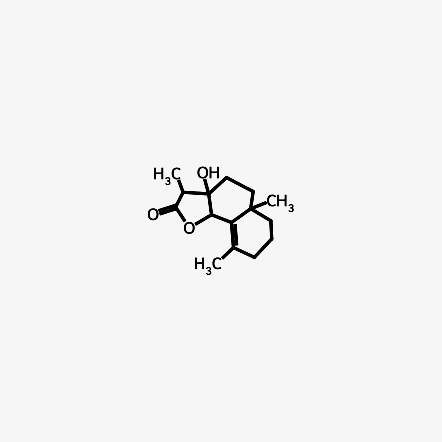 CC1=C2C3OC(=O)C(C)C3(O)CCC2(C)CCC1